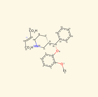 CCOc1ccccc1O[C@@H](c1ccccc1)[C@H]1CCCNC1.O=C(O)/C=C/C(=O)O